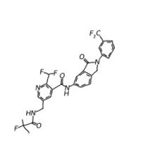 CC(C)(F)C(=O)NCc1cnc(C(F)F)c(C(=O)Nc2ccc3c(c2)C(=O)N(c2cccc(C(F)(F)F)c2)C3)c1